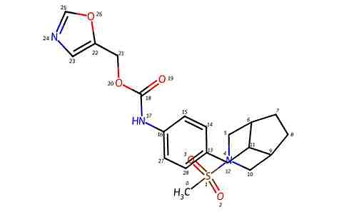 CS(=O)(=O)N1CC2CCC(C1)C2Cc1ccc(NC(=O)OCc2cnco2)cc1